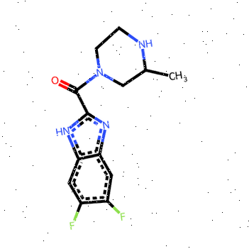 CC1CN(C(=O)c2nc3cc(F)c(F)cc3[nH]2)CCN1